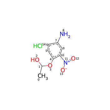 CC(O)Oc1ccc(N)cc1[N+](=O)[O-].Cl